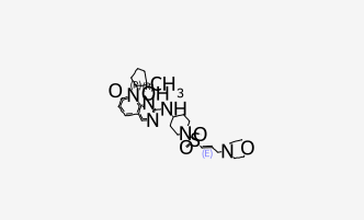 C[C@@]1(O)CCC[C@H]1n1c(=O)ccc2cnc(NC3CCN(S(=O)(=O)/C=C/CN4CCOCC4)CC3)nc21